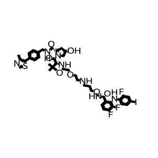 Cc1ncsc1-c1ccc(CNC(=O)[C@@H]2C[C@@H](O)CN2C(=O)[C@@H](NC(=O)COCCNCCCONC(=O)c2ccc(F)c(F)c2Nc2ccc(I)cc2F)C(C)(C)C)cc1